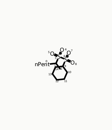 CCCCCC(C)S(=O)(=O)S(=O)(=O)C1CCCCC1